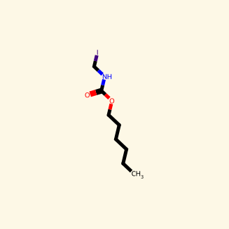 CCCCCCOC(=O)NCI